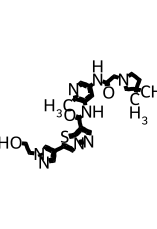 Cc1ncc(NC(=O)CN2CCC(C)(C)C2)cc1NC(=O)c1cnn2cc(-c3cnn(CCO)c3)sc12